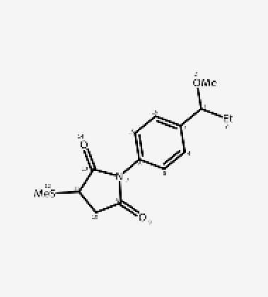 CCC(OC)c1ccc(N2C(=O)CC(SC)C2=O)cc1